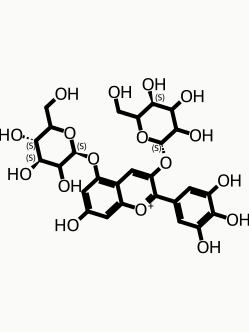 OCC1O[C@@H](Oc2cc3c(O[C@@H]4OC(CO)[C@@H](O)[C@H](O)C4O)cc(O)cc3[o+]c2-c2cc(O)c(O)c(O)c2)C(O)C(O)[C@@H]1O